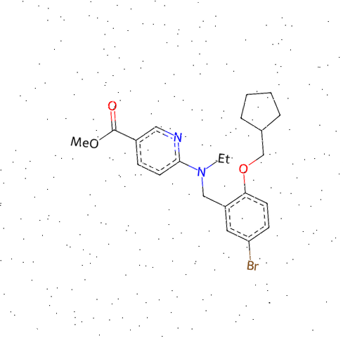 CCN(Cc1cc(Br)ccc1OCC1CCCC1)c1ccc(C(=O)OC)cn1